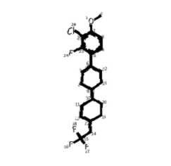 COc1ccc(C2CCC(C3CCC(CC(F)(F)F)CC3)CC2)c(F)c1Cl